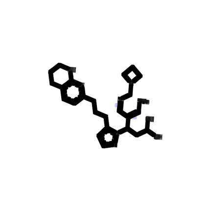 CN/C=C(\C=N/CN1CCC1)C(CC(O)O)n1nccc1CCCc1ccc2c(n1)NCCC2